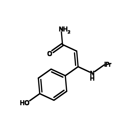 CC(C)N/C(=C/C(N)=O)c1ccc(O)cc1